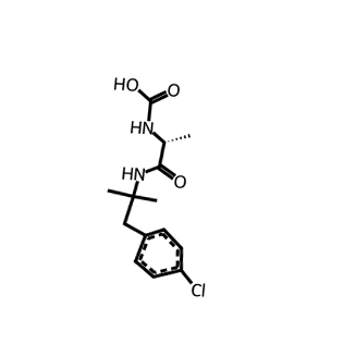 C[C@@H](NC(=O)O)C(=O)NC(C)(C)Cc1ccc(Cl)cc1